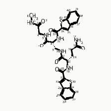 CNC(=O)CNC(=O)[C@@H](CNC(=O)[C@H](CCC(N)=O)NC(=O)c1cc2ccccc2s1)NC(=O)c1cc2ccccc2s1